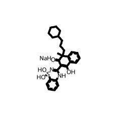 CC1(CCCC2CCCCC2)C(=O)C(C2=NS(O)(O)c3ccccc3N2)=C(O)c2ccccc21.[NaH]